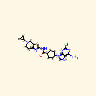 Nc1nc(Cl)nc2c1ncn2C1CCC(C(=O)Nc2nc3c(s2)CN(C2CC2)CC3)CC1